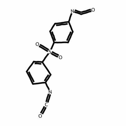 O=C=Nc1ccc(S(=O)(=O)c2cccc(N=C=O)c2)cc1